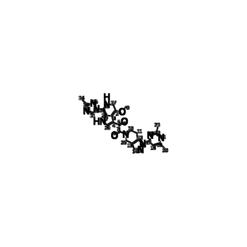 COC1=c2c(C(=O)C(=O)N3CCc4c(cnn4-c4cc(C)nc(C)n4)C3)c[nH]c2=C(n2cnc(C)n2)NC1